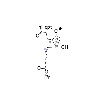 CCCCCCCC(=O)CC[C@@H]1[C@@H](C/C=C\CCCC(=O)OC(C)C)[C@@H](O)C[C@H]1OC(C)C